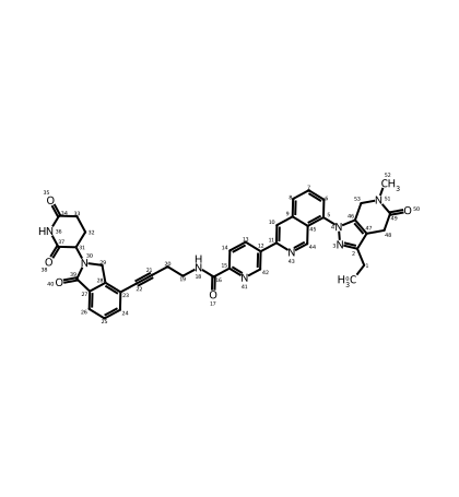 CCc1nn(-c2cccc3cc(-c4ccc(C(=O)NCCC#Cc5cccc6c5CN(C5CCC(=O)NC5=O)C6=O)nc4)ncc23)c2c1CC(=O)N(C)C2